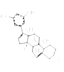 Cc1cc(C)cc(C2=CC[C@H]3[C@@H]4CC=C5C[C@@H](O)CC[C@]5(C)[C@H]4CC[C@]23C)c1